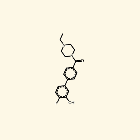 CCN1CCN(C(=O)c2ccc(-c3ccc(F)c(O)c3)cc2)CC1